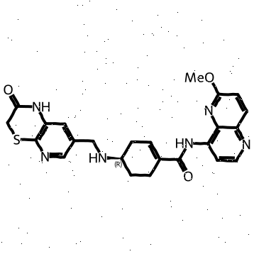 COc1ccc2nccc(NC(=O)C3=CC[C@H](NCc4cnc5c(c4)NC(=O)CS5)CC3)c2n1